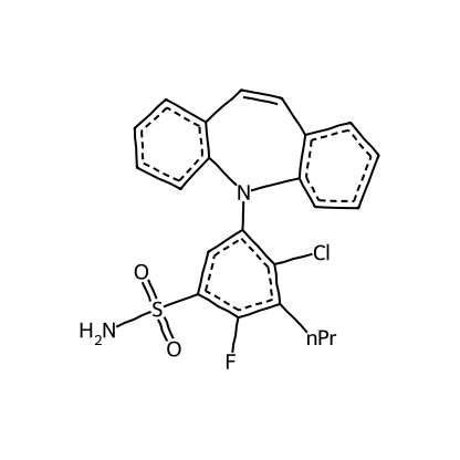 CCCc1c(F)c(S(N)(=O)=O)cc(N2c3ccccc3C=Cc3ccccc32)c1Cl